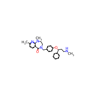 CNCCC(Oc1ccc(CN2CCN(C)c3nc(C)ccc3C2=O)cc1)c1ccccc1